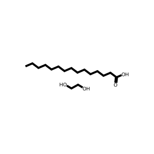 CCCCCCCCCCCCCCC(=O)O.OCCO